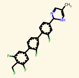 CC1=CNC(c2ccc(-c3ccc(-c4cc(F)c(CF)c(F)c4)c(F)c3)c(F)c2)N=C1